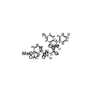 COc1cc(F)ccc1[C@@H](c1ccc(C)cc1)[C@H](C)OC(=O)[C@H](C)NC(=O)c1nccc(OC)c1OC(C)=O